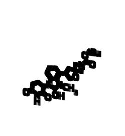 CN1c2c(C3COC4(C3)CN(C(=O)OC(C)(C)C)C4)cccc2N(C2CCC(=O)NC2=O)C1O